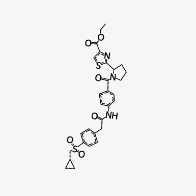 CCOC(=O)c1csc(C2CCCN2C(=O)c2ccc(NC(=O)Cc3ccc(S(=O)(=O)CC4CC4)cc3)cc2)n1